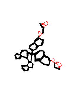 c1ccc2c3c(ccc2c1)C(c1ccc2cc(OCC4CO4)ccc2c1)(c1ccc2cc(OC4CCO4)ccc2c1)c1ccc2ccccc2c1-3